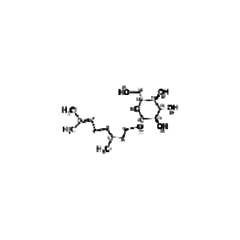 CC(C)=CCCC(C)CCO[C@@H]1O[C@H](CO)[C@@H](O)[C@H](O)[C@H]1O